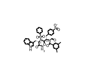 Cc1cc(C)cc(C(=O)N(C=O)[C@@H](Cc2ccc([N+](=O)[O-])cc2)C(=O)N([C@@H](Cc2c[nH]c3ccccc23)C(N)=O)S(=O)(=O)c2ccccc2)c1